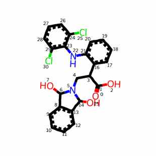 O=C(O)C(CN1C(O)c2ccccc2C1O)c1ccccc1Nc1c(Cl)cccc1Cl